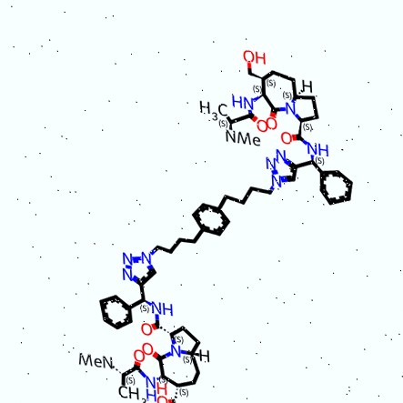 CN[C@@H](C)C(=O)N[C@@H]1C(=O)N2[C@@H](CC[C@@H]1CO)CC[C@H]2C(=O)N[C@@H](c1ccccc1)c1cn(CCCCc2ccc(CCCCn3cc([C@@H](NC(=O)[C@@H]4CC[C@@H]5CC[C@H](CO)[C@H](NC(=O)[C@H](C)NC)C(=O)N54)c4ccccc4)nn3)cc2)nn1